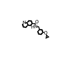 O=C(NCc1cccc(OC2CC2)c1)c1ccc2ncccc2c1